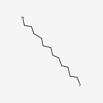 [N]CCCCCCCCCCCCF